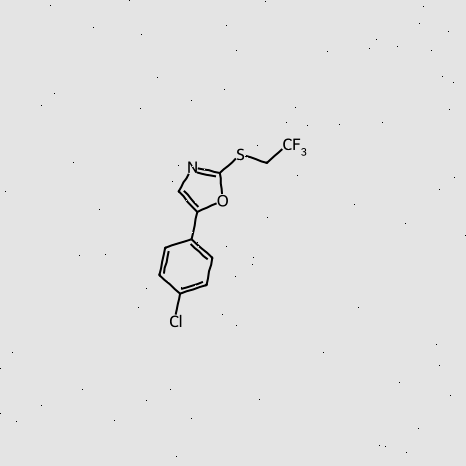 FC(F)(F)CSc1ncc(-c2ccc(Cl)cc2)o1